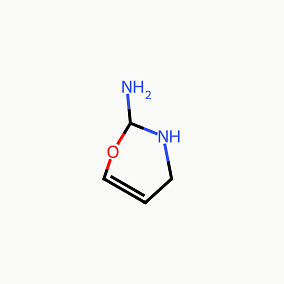 NC1NCC=CO1